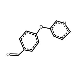 O=Cc1ccc(Oc2cccnc2)cc1